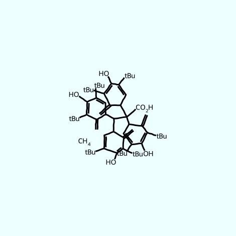 C.C=C1C(C(C)(C)C)=C(O)C(C(C)(C)C)=CC1C(C1C=C(C(C)(C)C)C(O)=C(C(C)(C)C)C1=C)C(C(=O)O)(C1C=C(C(C)(C)C)C(O)=C(C(C)(C)C)C1=C)C1C=C(C(C)(C)C)C(O)=C(C(C)(C)C)C1=C